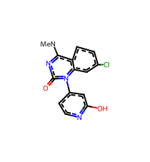 CNc1nc(=O)n(-c2ccnc(O)c2)c2cc(Cl)ccc12